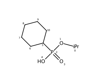 CC(C)OP(=O)(O)C1CCCCC1